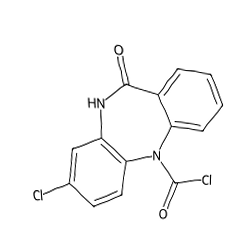 O=C1Nc2cc(Cl)ccc2N(C(=O)Cl)c2ccccc21